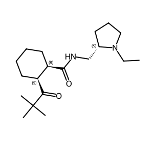 CCN1CCC[C@H]1CNC(=O)[C@@H]1CCCC[C@@H]1C(=O)C(C)(C)C